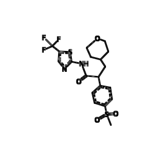 CS(=O)(=O)c1ccc(C(CC2CCOCC2)C(=O)Nc2ncc(C(F)(F)F)s2)cc1